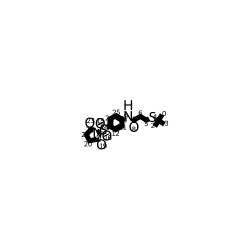 CC(C)(C)SCCC(=O)Nc1ccc(S(=O)(=O)N2C(=O)CCC2=O)cc1